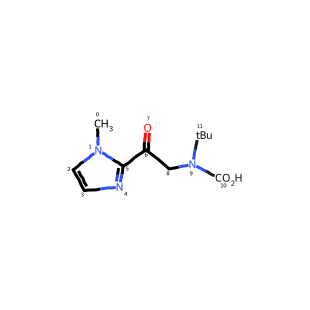 Cn1ccnc1C(=O)CN(C(=O)O)C(C)(C)C